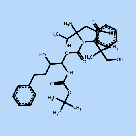 CC(O)C(N)(Cc1ccccc1)N(C(=O)OC(NC(=O)OC(C)(C)C)C(O)CCc1ccccc1)C(C(N)=O)C(C)(C)CO